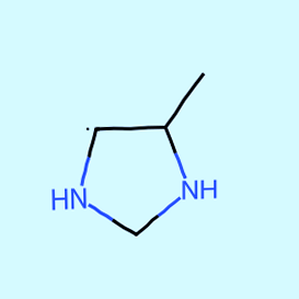 CC1[CH]NCN1